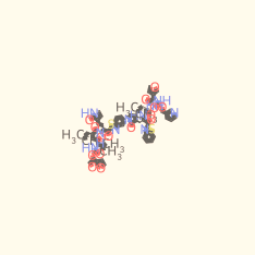 CC(C)C[C@H](CC(=O)[C@@H](NC(=O)OC1COC2OCCC12)C(C)C)C(=O)N[C@@H](CCC1CCNC1=O)C(=O)c1nc2cc(N3CC[C@@H](C[C@H](NC(=O)[C@H](CC(C)C)NC(=O)[C@@H](NC(=O)OCc4cccnc4)C4CCOC4)C(=O)c4nc5ccccc5s4)C3=O)ccc2s1